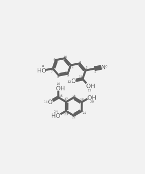 N#CC(=Cc1ccc(O)cc1)C(=O)O.O=C(O)c1cc(O)ccc1O